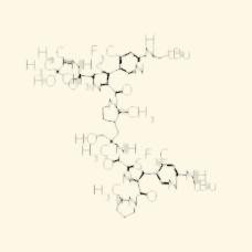 C[C@H]1CCCN1C(=O)c1nc(C(=O)NC(C)(CO)CC2CCN(C(=O)c3nc(C(=O)N[C@H](C)C(C)(C)O)sc3-c3cnc(NCC(C)(C)C)cc3C(F)(F)F)[C@H]2C)sc1-c1cnc(NC(C)(C)C)cc1C(F)(F)F